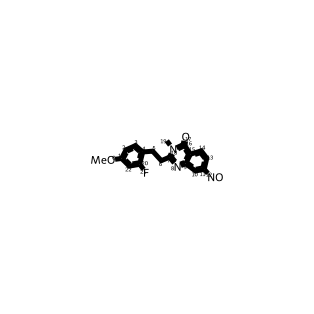 COc1ccc(CCc2nc3cc(N=O)ccc3c(=O)n2C)c(F)c1